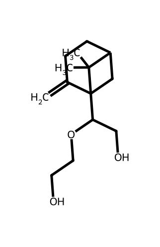 C=C1CCC2CC1(C(CO)OCCO)C2(C)C